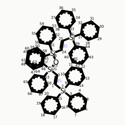 C(=C\[Si](c1ccccc1)(c1ccccc1)c1ccccc1)/[Si](O[Si](/C=C/[Si](c1ccccc1)(c1ccccc1)c1ccccc1)(c1ccccc1)c1ccccc1)(c1ccccc1)c1ccccc1